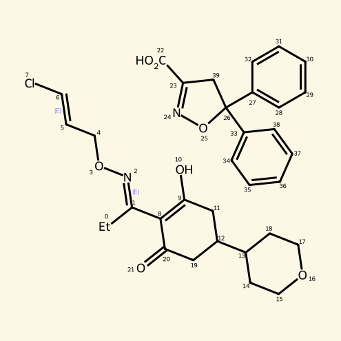 CC/C(=N\OC/C=C/Cl)C1=C(O)CC(C2CCOCC2)CC1=O.O=C(O)C1=NOC(c2ccccc2)(c2ccccc2)C1